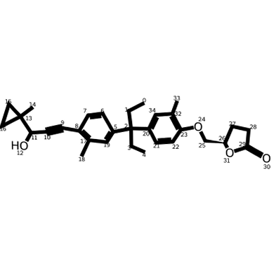 CCC(CC)(c1ccc(C#CC(O)C2(C)CC2)c(C)c1)c1ccc(OC[C@H]2CCC(=O)O2)c(C)c1